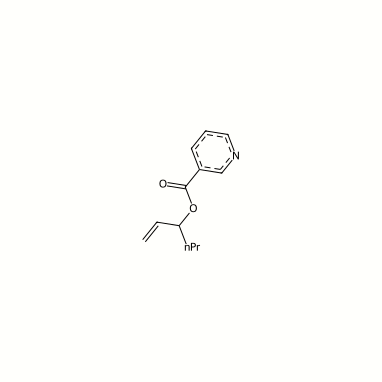 C=CC(CCC)OC(=O)c1cccnc1